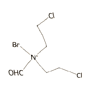 O=C[N+](Br)(CCCl)CCCl